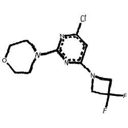 FC1(F)CN(c2cc(Cl)nc(N3CCOCC3)n2)C1